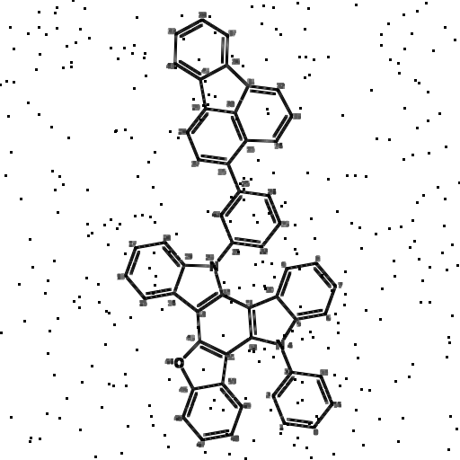 c1ccc(-n2c3ccccc3c3c4c(c5ccccc5n4-c4cccc(-c5ccc6c7c(cccc57)-c5ccccc5-6)c4)c4oc5ccccc5c4c32)cc1